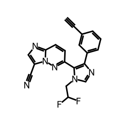 C#Cc1cccc(-c2ncn(CC(F)F)c2-c2ccc3ncc(C#N)n3n2)c1